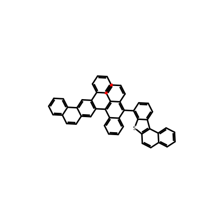 c1ccc(-c2cc3c(ccc4ccccc43)cc2-c2c3ccccc3c(-c3cccc4c3sc3ccc5ccccc5c34)c3ccccc23)cc1